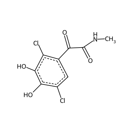 CNC(=O)C(=O)c1cc(Cl)c(O)c(O)c1Cl